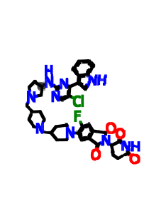 O=C1CCC(N2C(=O)c3cc(F)c(N4CCC(CN5CCC(CN6CC[C@@H](Nc7ncc(Cl)c(-c8c[nH]c9ccccc89)n7)C6)CC5)CC4)cc3C2=O)C(=O)N1